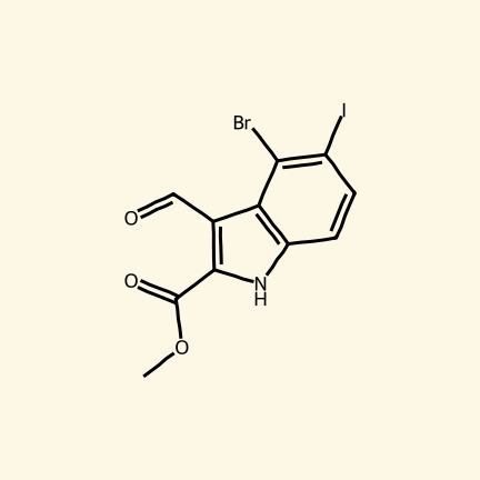 COC(=O)c1[nH]c2ccc(I)c(Br)c2c1C=O